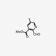 COC(=O)c1cc(C)cnc1C=O